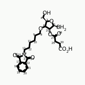 B[C@@H]1O[C@H](CO)C(OCCCCCCN2C(=O)c3ccccc3C2=O)[C@@H]1OC(=O)CCC(=O)O